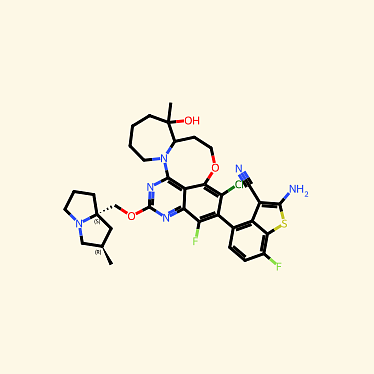 C[C@H]1CN2CCC[C@@]2(COc2nc3c4c(c(Cl)c(-c5ccc(F)c6sc(N)c(C#N)c56)c(F)c4n2)OCCC2N3CCCCC2(C)O)C1